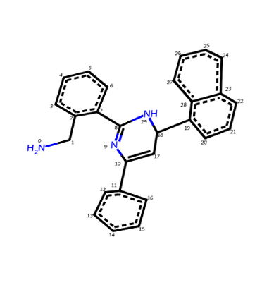 NCc1ccccc1C1=NC(c2ccccc2)=CC(c2cccc3ccccc23)N1